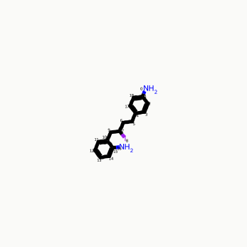 Nc1ccc(CCC(I)Cc2ccccc2N)cc1